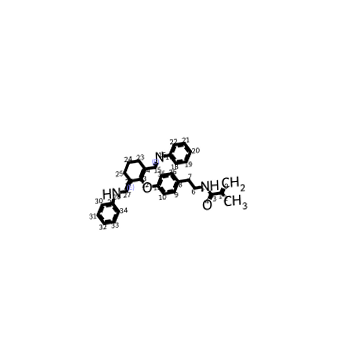 C=C(C)C(=O)NCCc1ccc(OC2=C(/C=N/c3ccccc3)CCC/C2=C\Nc2ccccc2)cc1